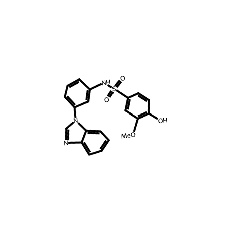 COc1cc(S(=O)(=O)Nc2cccc(-n3cnc4ccccc43)c2)ccc1O